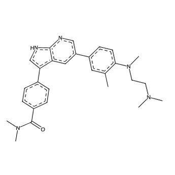 Cc1cc(-c2cnc3[nH]cc(-c4ccc(C(=O)N(C)C)cc4)c3c2)ccc1N(C)CCN(C)C